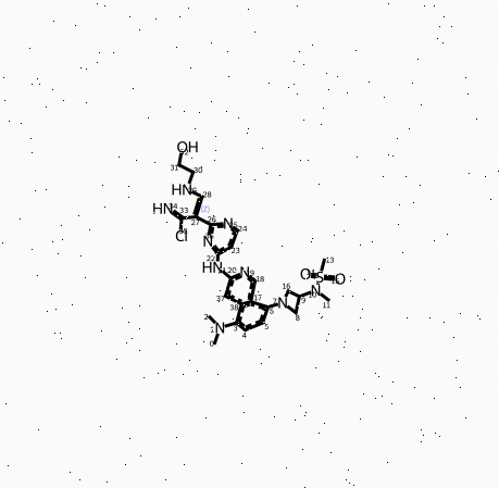 CN(C)c1ccc(N2CC(N(C)S(C)(=O)=O)C2)c2cnc(Nc3ccnc(/C(=C/NCCO)C(=N)Cl)n3)cc12